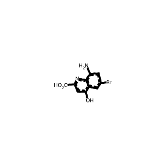 Nc1cc(Br)cc2c(O)cc(C(=O)O)nc12